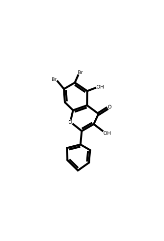 O=c1c(O)c(-c2ccccc2)oc2cc(Br)c(Br)c(O)c12